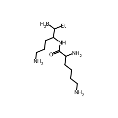 BC(CC)C(CCCN)NC(=O)C(N)CCCCN